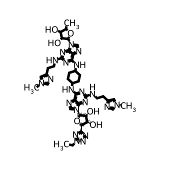 CCn1nnc([C@H]2O[C@@H](n3cnc4c(NC5CCC(Nc6nc(NCCc7cn(C)cn7)nc7c6ncn7C6OC(C)C(O)C6O)CC5)nc(NCCc5cn(C)cn5)nc43)[C@H](O)[C@@H]2O)n1